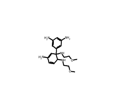 COCCNC1C=CC(N)=CC1(NCCOC)c1cc(N)cc(N)c1